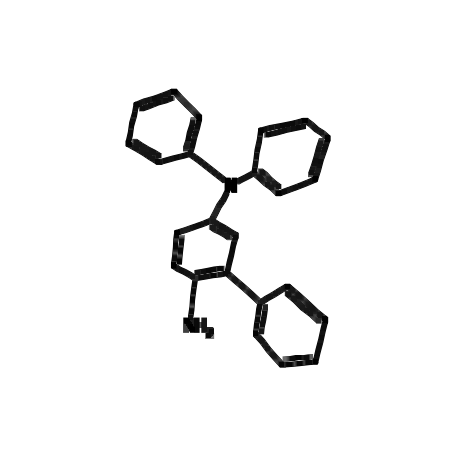 Nc1ccc(N(c2ccccc2)c2ccccc2)cc1-c1ccccc1